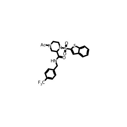 CC(=O)N1CCN(S(=O)(=O)c2cc3ccccc3s2)C(C(=O)NCc2ccc(C(F)(F)F)cc2)C1